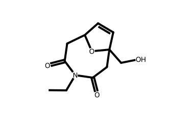 CCN1C(=O)CC2C=CC(CO)(CC1=O)O2